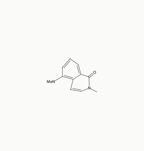 CNc1cccc2c(=O)n(C)ccc12